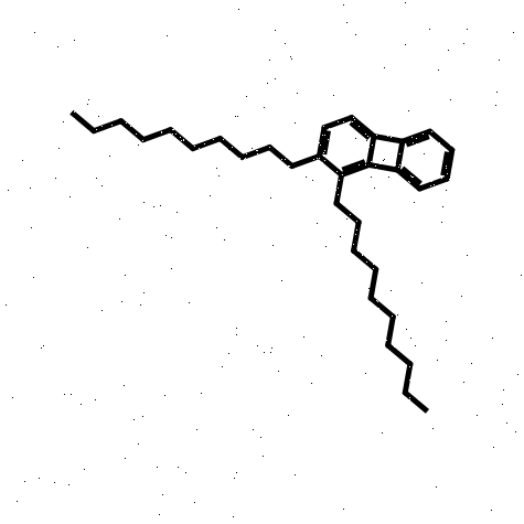 CCCCCCCCCCc1ccc2c(c1CCCCCCCCCC)-c1ccccc1-2